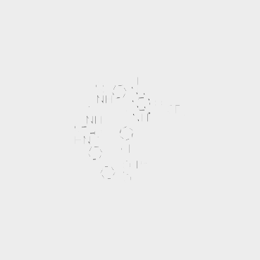 CC(C)OC(=O)c1cccc(-c2ccc(NC(=O)C(=O)NCC(C)(C)CNC(=O)c3ccc(Nc4nc(NC5(c6ccc(Cl)cc6)CC5)nc(OCC(F)(F)F)n4)cc3)cc2)c1